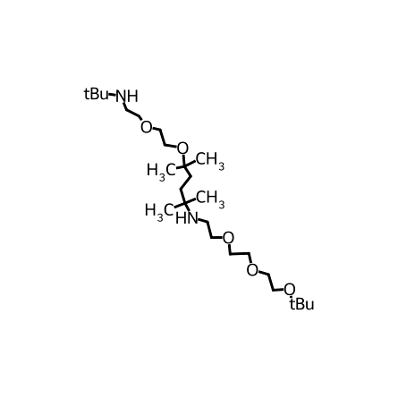 CC(C)(C)NCCOCCOC(C)(C)CCC(C)(C)NCCOCCOCCOC(C)(C)C